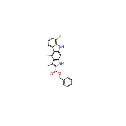 Cc1c(C(=O)OCc2ccccc2)[nH]c2cc3[nH]c4c(F)cccc4c3c(C)c12